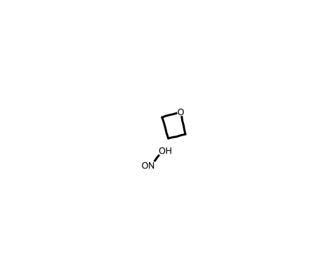 C1COC1.O=NO